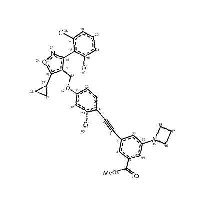 COC(=O)c1cc(C#Cc2ccc(OCc3c(-c4c(Cl)cccc4Cl)noc3C3CC3)cc2Cl)cc(N2CCC2)c1